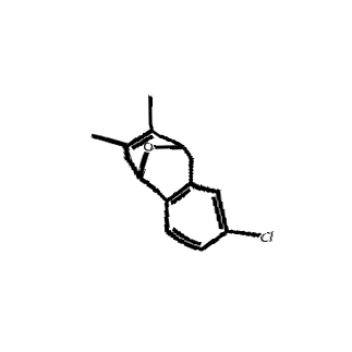 CC1=C(C)C2OC1c1ccc(Cl)cc12